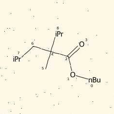 CCCCOC(=O)C(C)(CC(C)C)C(C)C